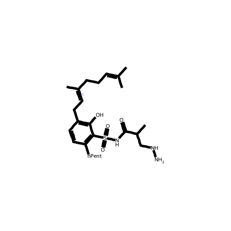 CCCCCc1ccc(C/C=C(\C)CCC=C(C)C)c(O)c1S(=O)(=O)NC(=O)C(C)CNN